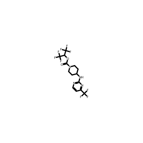 O=C(OC(C(F)(F)F)C(F)(F)F)N1CCC(Nc2nccc(C(F)(F)F)n2)CC1